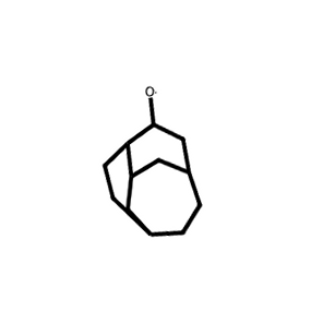 [O]C1CC2CCC3CCC1C(C3)C2